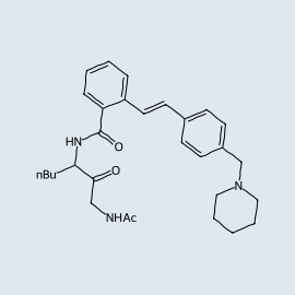 CCCCC(NC(=O)c1ccccc1C=Cc1ccc(CN2CCCCC2)cc1)C(=O)CNC(C)=O